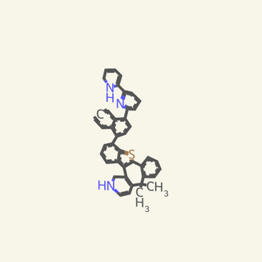 CC1(C)C2=C(CNC=C2)c2c(sc3c(-c4ccc(-c5cccc(C6=CC=CCN6)n5)c5ccccc45)cccc23)-c2ccccc21